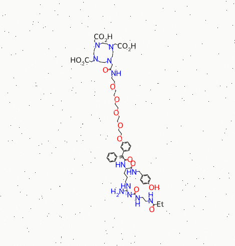 CCC(=O)NCCNC(=O)/N=C(/N)NCCCC(NC(=O)[C@H](c1ccccc1)c1cccc(OCCOCCOCCOCCOCCNC(=O)CN2CCN(CC(=O)O)CCN(CC(=O)O)CCN(CC(=O)O)CC2)c1)C(=O)NCc1ccc(O)cc1